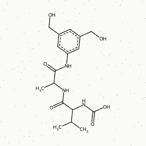 CC(NC(=O)C(NC(=O)O)C(C)C)C(=O)Nc1cc(CO)cc(CO)c1